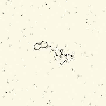 N#C[C@@H]1CSCN1C(=O)[C@H]1CCCN1C(=O)CC[C@@H]1CCc2ccccc2C1